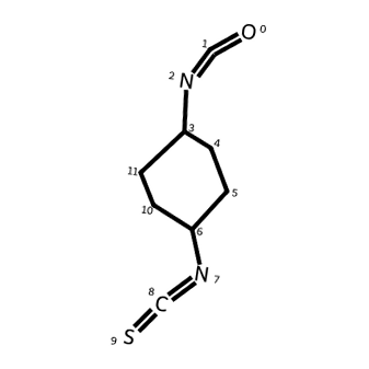 O=C=NC1CCC(N=C=S)CC1